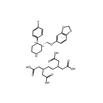 Fc1ccc([C@@H]2CCNC[C@H]2COc2ccc3c(c2)OCO3)cc1.O=C(O)CN(CCN(CC(=O)O)CC(=O)O)CC(=O)O